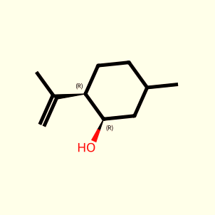 C=C(C)[C@H]1CCC(C)C[C@H]1O